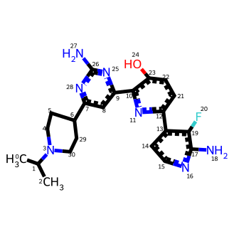 CC(C)N1CCC(c2cc(-c3nc(-c4ccnc(N)c4F)ccc3O)nc(N)n2)CC1